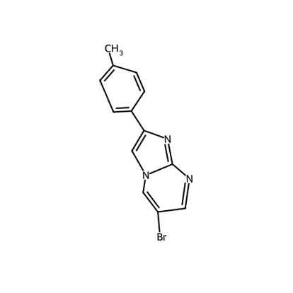 Cc1ccc(-c2cn3cc(Br)cnc3n2)cc1